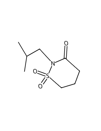 CC(C)CN1C(=O)CCCS1(=O)=O